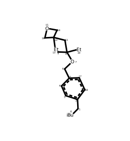 CCC(C)Cc1ccc(COC(C)(CC)CC2(CC)COC2)cc1